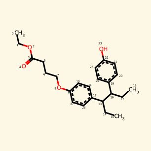 CCOC(=O)CCCOc1ccc(C(CC)C(CC)c2ccc(O)cc2)cc1